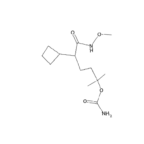 CONC(=O)C(CCC(C)(C)OC(N)=O)C1CCC1